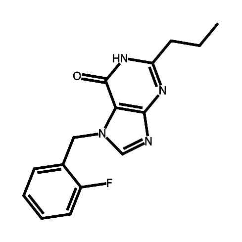 CCCc1nc2ncn(Cc3ccccc3F)c2c(=O)[nH]1